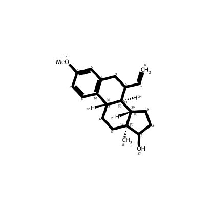 C=CC1Cc2cc(OC)ccc2[C@H]2CC[C@]3(C)C(O)CC[C@H]3[C@H]12